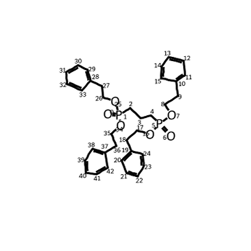 O=P(CCCP(=O)(OCCc1ccccc1)OCCc1ccccc1)(OCCc1ccccc1)OCCc1ccccc1